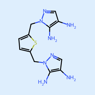 Nc1cnn(Cc2ccc(Cn3ncc(N)c3N)s2)c1N